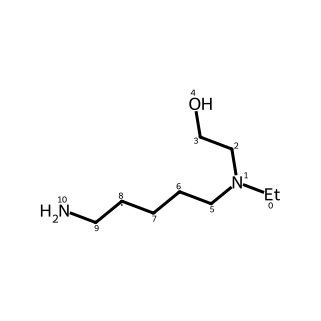 CCN(CCO)CCC[CH]CN